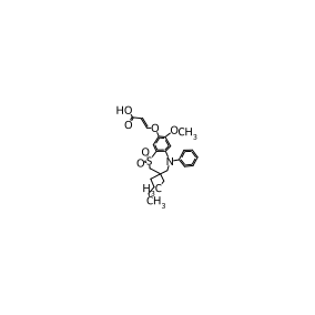 CCCCC1(CC)CN(c2ccccc2)c2cc(OC)c(OC=CC(=O)O)cc2S(=O)(=O)C1